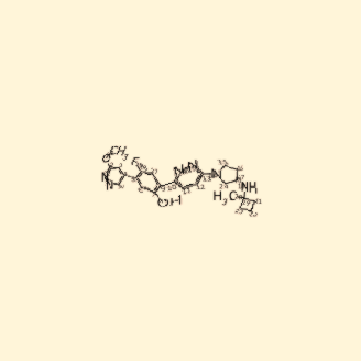 COc1cc(-c2cc(O)c(-c3ccc(N4CC[C@H](NC5(C)CCC5)C4)nn3)cc2F)cnn1